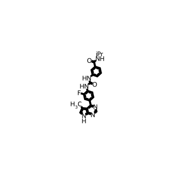 Cc1c[nH]c2ncnc(-c3ccc(NC(=O)Nc4cccc(C(=O)NC(C)C)c4)c(F)c3)c12